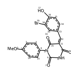 COc1ccc(N2C(=O)NC(=O)/C(=C/c3ccc(O)c(Br)c3)C2=O)cc1